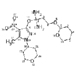 BC(B)(CCOC1CCCCO1)Oc1nn(C2CCOCC2)c(C)c1[N+](=O)[O-]